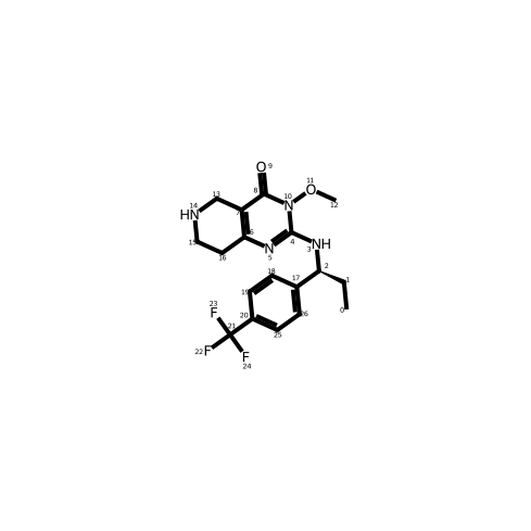 CC[C@H](Nc1nc2c(c(=O)n1OC)CNCC2)c1ccc(C(F)(F)F)cc1